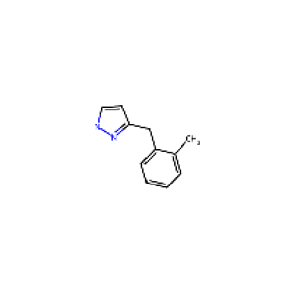 Cc1ccccc1CC1=N[N]C=C1